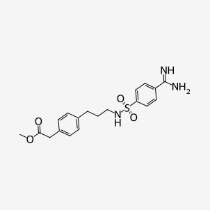 COC(=O)Cc1ccc(CCCNS(=O)(=O)c2ccc(C(=N)N)cc2)cc1